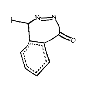 O=C1N=NC(I)c2ccccc21